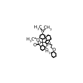 CCOc1cc(N(CC)CC)ccc1C1(c2c(C)n(CCOc3ccccc3)c3ccccc23)OC(=O)c2ccccc21